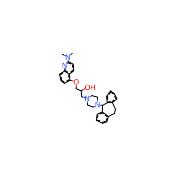 CN(C)c1ccc2c(OCC(O)CN3CCN(C4c5ccccc5CCc5ccccc54)CC3)cccc2n1